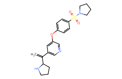 C=C(c1cncc(Oc2ccc(S(=O)(=O)N3CCCC3)cc2)c1)C1CCCN1